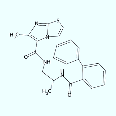 Cc1nc2sccn2c1C(=O)NC[C@@H](C)NC(=O)c1ccccc1-c1ccccc1